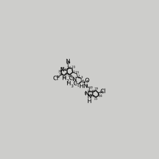 C=N/C(=C\C(=C/C)C(=O)NCc1n[nH]c2ccc(Cl)cc12)Cc1cc(C#N)c2ncc(Cl)cc2c1